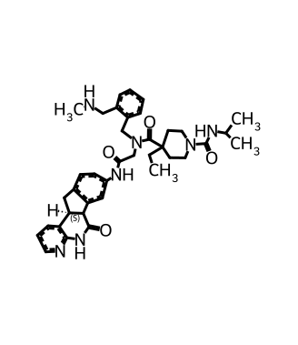 CCC1(C(=O)N(CC(=O)Nc2ccc3c(c2)C2C(=O)Nc4ncccc4[C@H]2C3)Cc2ccccc2CNC)CCN(C(=O)NC(C)C)CC1